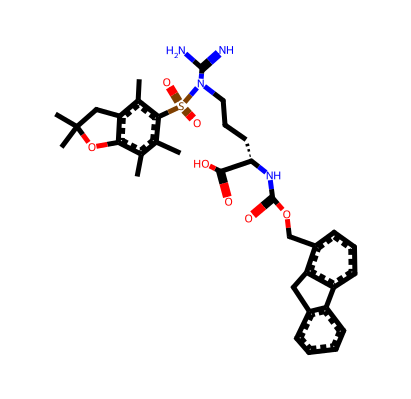 Cc1c(C)c(S(=O)(=O)N(CCC[C@H](NC(=O)OCc2cccc3c2Cc2ccccc2-3)C(=O)O)C(=N)N)c(C)c2c1OC(C)(C)C2